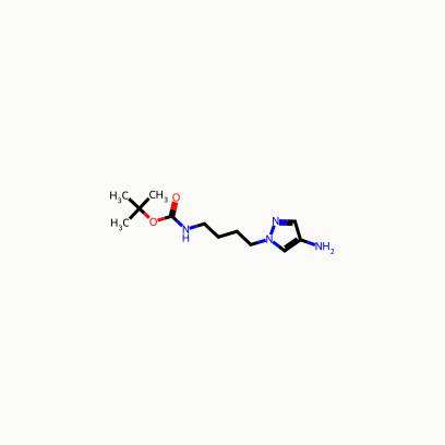 CC(C)(C)OC(=O)NCCCCn1cc(N)cn1